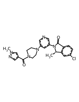 C[C@@H]1c2cc(Cl)ccc2C(=O)N1c1cncc(N2CCN(C(=O)c3cnn(C)c3)CC2)c1